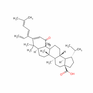 C=C/C(=C\C=C(C)C)C1=CC(=O)[C@]2(C)[C@H]3CC[C@@H]4[C@H]5[C@H](C(C)C)CC[C@]5(C(=O)O)CC[C@@]4(C)[C@]3(C)CC[C@H]2C1(C)C